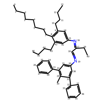 CCCCCCCCc1c(CCCC)cc(N=C(C=Nc2cc(-c3ccccc3)c(C)c(-c3ccccc3)c2)CC)cc1CCCC